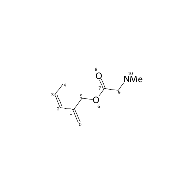 C=C(/C=C\C)COC(=O)CNC